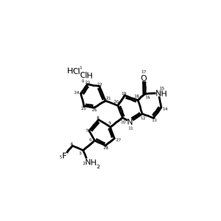 Cl.Cl.NC(CF)c1ccc(-c2nc3cc[nH]c(=O)c3cc2-c2ccccc2)cc1